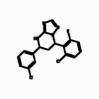 Fc1cccc(Cl)c1C1CC(c2cccc(Cl)c2)Nc2ncnn21